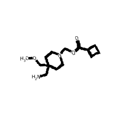 COCC1(CN)CCN(COC(=O)C2CCC2)CC1